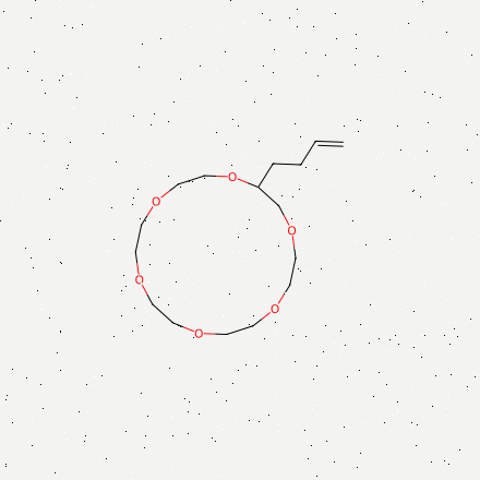 C=CCCC1COCCOCCOCCOCCOCCO1